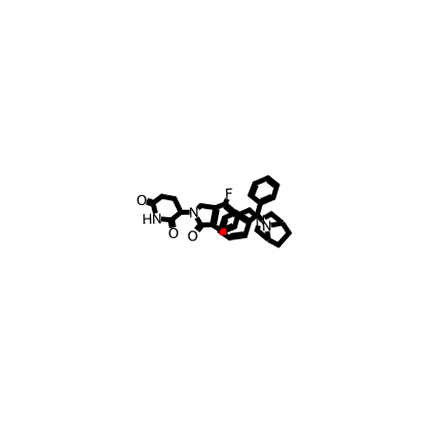 O=C1CCC(N2Cc3c(ccc(CN4CC5CCC(C4)N5C(c4ccccc4)c4ccccc4)c3F)C2=O)C(=O)N1